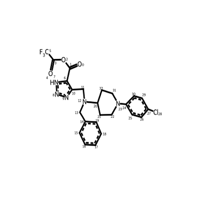 O=C(OC(=O)C(F)(F)F)c1[nH]nnc1CN(Cc1ccccc1)C1CCN(c2ccc(Cl)cc2)CC1